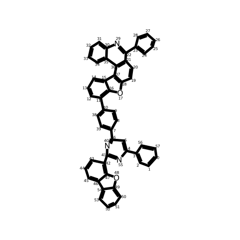 c1ccc(-c2cc(-c3ccc(-c4cccc5c4oc4ccc6c(-c7ccccc7)nc7ccccc7c6c45)cc3)nc(-c3cccc4c3oc3ccccc34)n2)cc1